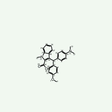 COc1ccc(C(c2ccc(N(C)C)cc2)c2c(C(=O)O)n(C)c3ccccc23)cc1